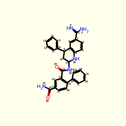 N=C(N)c1ccc2c(c1)C(c1ccccc1)CC(NC(=O)c1cc(C(N)=O)ccc1-c1ccccc1)N2